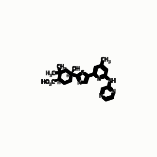 Cc1cc(Nc2cnccn2)nc(-c2cnc([C@@]3(O)CC[C@@H](C(=O)O)C(C)(C)C3)s2)c1